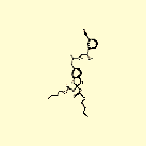 CCCCOC(=O)OC1(OC(=O)OCCCC)Oc2ccc(CC(C)NCC(O)c3cccc(C#N)c3)cc2O1